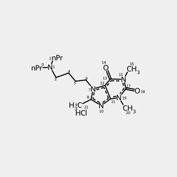 CCCN(CCC)CCCCn1c(C)nc2c1c(=O)n(C)c(=O)n2C.Cl